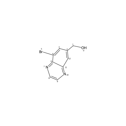 OCc1cc(Br)c2nccnc2c1